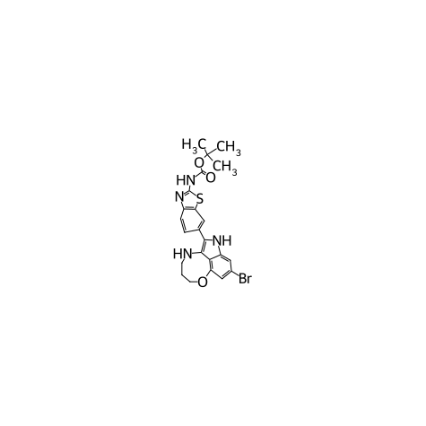 CC(C)(C)OC(=O)Nc1nc2ccc(-c3[nH]c4cc(Br)cc5c4c3NCCCO5)cc2s1